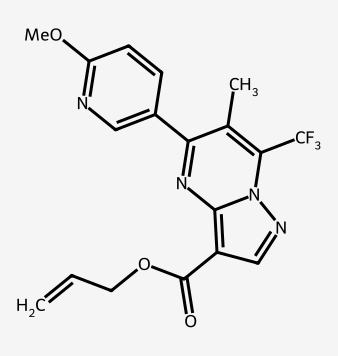 C=CCOC(=O)c1cnn2c(C(F)(F)F)c(C)c(-c3ccc(OC)nc3)nc12